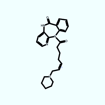 O=C1Nc2cccnc2N(C(=O)CCC/C=C\CN2CCCCC2)c2ccccc21